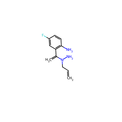 C=CCN(N)C(=C)c1cc(F)ccc1N